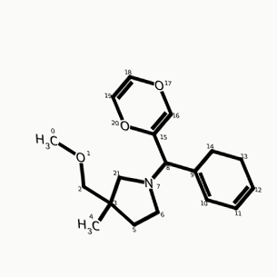 COCC1(C)CCN(C(C2=CC=CCC2)C2=COC=CO2)C1